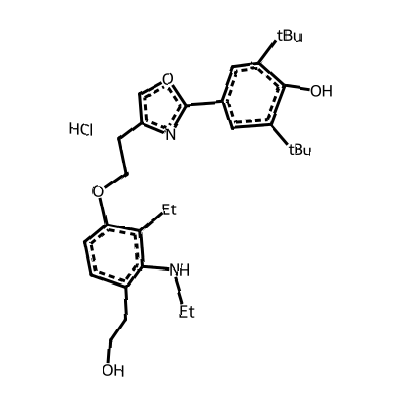 CCNc1c(CCO)ccc(OCCc2coc(-c3cc(C(C)(C)C)c(O)c(C(C)(C)C)c3)n2)c1CC.Cl